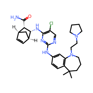 CC1(C)CCCN(CCN2CCCC2)c2cc(Nc3ncc(Cl)c(N[C@H]4[C@@H](C(N)=O)[C@@H]5C=C[C@H]4C5)n3)ccc21